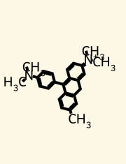 Cc1ccc2c(c1)CC1=CC(=[N+](C)C)C=CC1=C2c1ccc(N(C)C)cc1